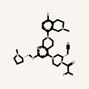 CC(F)C(=O)N1CCN(c2cc(OC[C@@H]3CCCN3C)nc3c2CCN(c2ccc(F)c4c2CN(C)CC4)C3)C[C@@H]1CC#N